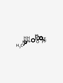 CCc1cc(NC[C@H]2CC[C@H](NC(=O)c3cc(C(F)(F)F)ccc3Cl)CC2)[nH]n1